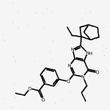 CCCn1c(Oc2cccc(C(=O)OCC)c2)nc2nc(C3(CC)CC4CCC3C4)[nH]c2c1=O